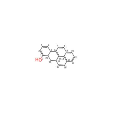 OC1=CC=CC2c3ccc4cccc5c4c3C(C=C5)CC12